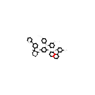 CC(C)(C)c1ccc(N2c3cc(N4c5ccc(-c6ccccn6)cc5C5(C)CCCCC45C)ccc3B3c4ccccc4N(c4ccc(C(C)(C)C)cc4-c4ccccc4)c4cc(C(C)(C)C)cc2c43)cc1